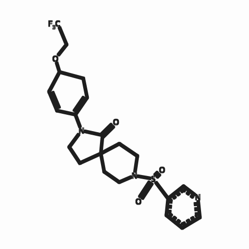 O=C1N(C2=CCC(OCC(F)(F)F)C=C2)CCC12CCN(S(=O)(=O)c1cccnc1)CC2